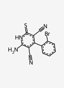 N#Cc1c(N)[nH]c(=S)c(C#N)c1-c1ccccc1Br